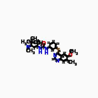 C/N=C(\C=C(/C)NC(=O)Nc1cccc(Sc2ncnc3cc(C)c(OC)cc23)c1)C(C)(C)C